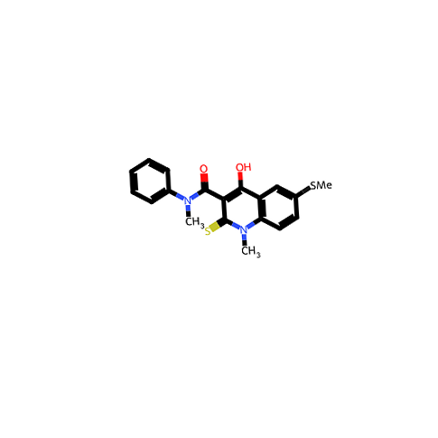 CSc1ccc2c(c1)c(O)c(C(=O)N(C)c1ccccc1)c(=S)n2C